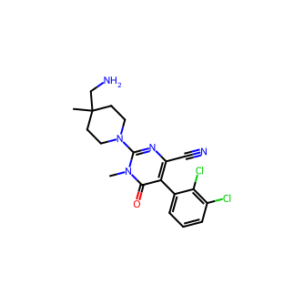 Cn1c(N2CCC(C)(CN)CC2)nc(C#N)c(-c2cccc(Cl)c2Cl)c1=O